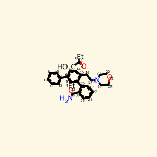 CCC(=O)C(=O)O.CCc1c(-c2ccccc2)ccc(CCN2CCOCC2)c1-c1ccccc1C(N)=O